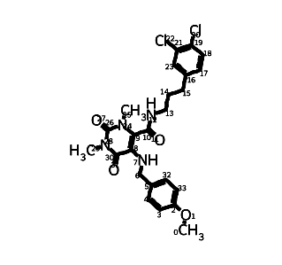 COc1ccc(CNc2c(C(=O)NCCCc3ccc(Cl)c(Cl)c3)n(C)c(=O)n(C)c2=O)cc1